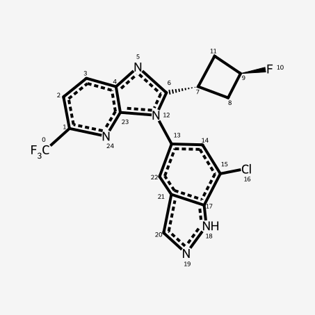 FC(F)(F)c1ccc2nc([C@H]3C[C@H](F)C3)n(-c3cc(Cl)c4[nH]ncc4c3)c2n1